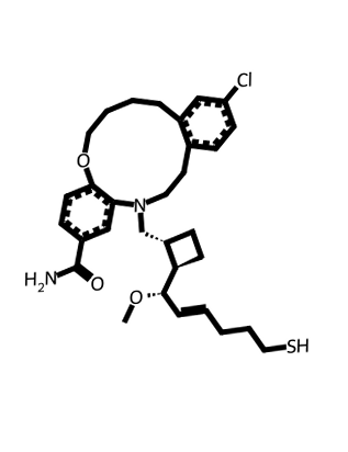 CO[C@@H](/C=C/CCCS)[C@@H]1CC[C@H]1CN1CCc2ccc(Cl)cc2CCCCOc2ccc(C(N)=O)cc21